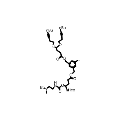 [CH2]c1cc(COC(=O)CCC(CCCCCC)OC(=O)NCCN(C)CC)cc(COC(=O)CCC(OCCC#CCCCC)OCCC#CCCCC)c1